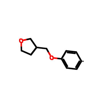 [c]1ccc(OCC2CCOC2)cc1